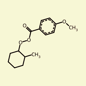 COc1ccc(C(=O)OO[C]2CCCCC2C)cc1